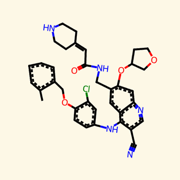 Cc1ccccc1COc1ccc(Nc2c(C#N)cnc3cc(OC4CCOC4)c(CNC(=O)C=C4CCNCC4)cc23)cc1Cl